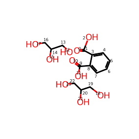 O=C(O)c1ccccc1C(=O)O.OCC(O)CO.OCC(O)CO